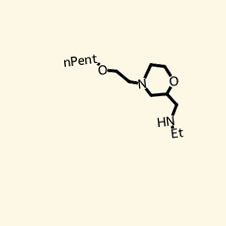 CCCCCOCCN1CCOC(CNCC)C1